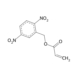 C=CC(=O)OCc1cc([N+](=O)[O-])ccc1[N+](=O)[O-]